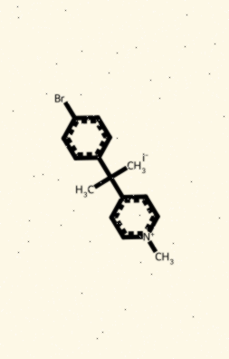 C[n+]1ccc(C(C)(C)c2ccc(Br)cc2)cc1.[I-]